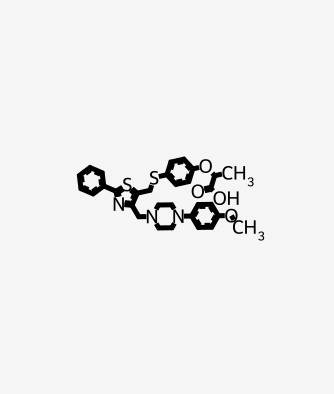 COc1ccc(N2CCN(Cc3nc(-c4ccccc4)sc3CSc3ccc(OC(C)C(=O)O)cc3)CC2)cc1